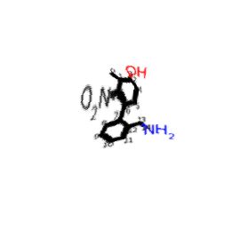 Cc1c(O)ccc(-c2ccccc2CN)c1[N+](=O)[O-]